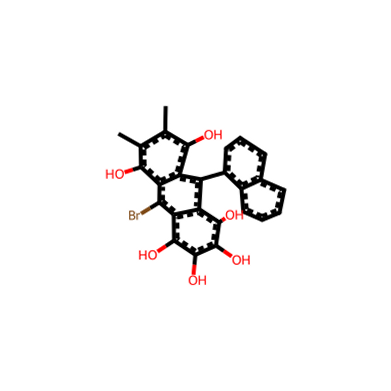 Cc1c(C)c(O)c2c(-c3cccc4ccccc34)c3c(O)c(O)c(O)c(O)c3c(Br)c2c1O